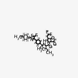 CCC(C)C(NC(=O)c1ccc(-c2nc(N3CCN(C)CC3)sc2F)cc1)C(=O)N1CC(C=C(F)F)C2OCC(=O)C21